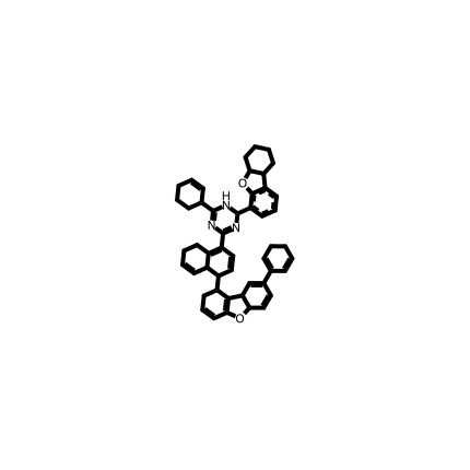 C1=CC(C2=CC3C4=C(C=CCC4C4C=CC(C5=NC(c6cccc7c6OC6CCCCC76)NC(C6C=CCCC6)=N5)=C5CCC=CC54)OC3C=C2)=CCC1